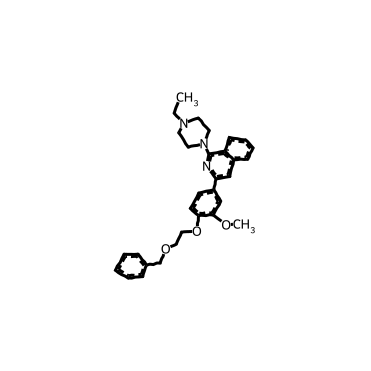 CCN1CCN(c2nc(-c3ccc(OCCOCc4ccccc4)c(OC)c3)cc3ccccc23)CC1